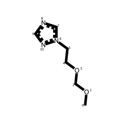 COCOCCn1cncn1